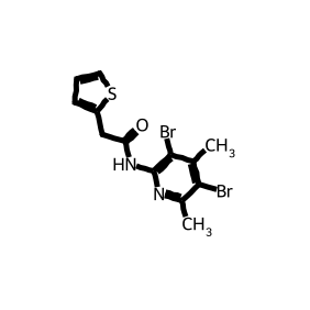 Cc1nc(NC(=O)Cc2cccs2)c(Br)c(C)c1Br